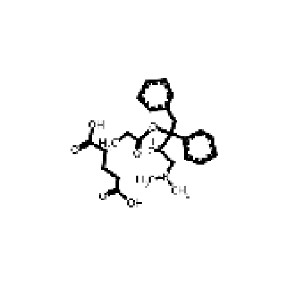 CCC(=O)OC(Cc1ccccc1)(c1ccccc1)C(C)CN(C)C.O=C(O)CCCC(=O)O